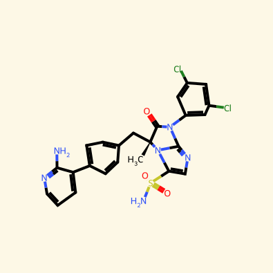 C[C@@]1(Cc2ccc(-c3cccnc3N)cc2)C(=O)N(c2cc(Cl)cc(Cl)c2)c2ncc(S(N)(=O)=O)n21